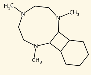 CN1CCN(C)C2C3CCCCC3C2N(C)CC1